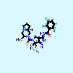 CC1CN2CCC[C@H]2CN1C(=O)N1Cc2c(NC(=O)c3c(F)ccc(F)c3F)n[nH]c2C1(C)C